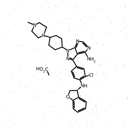 CC(=O)O.CN1CCN(C2CCC(n3nc(-c4ccc(N[C@@H]5COc6ccccc65)c(Cl)c4)c4c(N)ncnc43)CC2)CC1